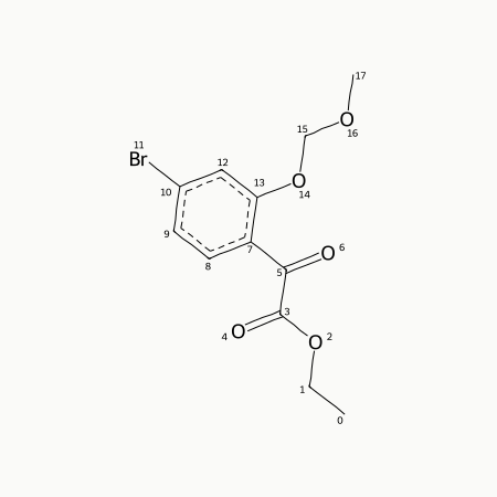 CCOC(=O)C(=O)c1ccc(Br)cc1OCOC